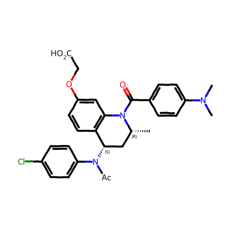 CC(=O)N(c1ccc(Cl)cc1)[C@H]1C[C@@H](C)N(C(=O)c2ccc(N(C)C)cc2)c2cc(OCC(=O)O)ccc21